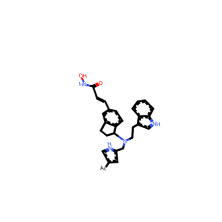 CC(=O)c1c[nH]c(CN(CCc2c[nH]c3ccccc23)C2CCc3cc(/C=C/C(=O)NO)ccc32)c1